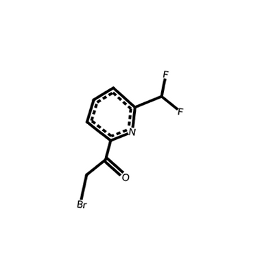 O=C(CBr)c1cccc(C(F)F)n1